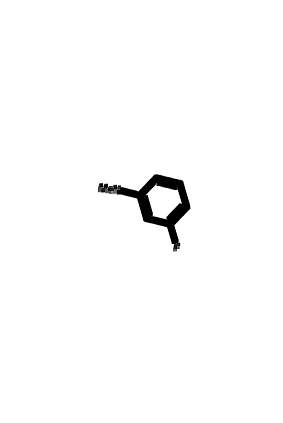 [CH2]Nc1cccc(F)c1